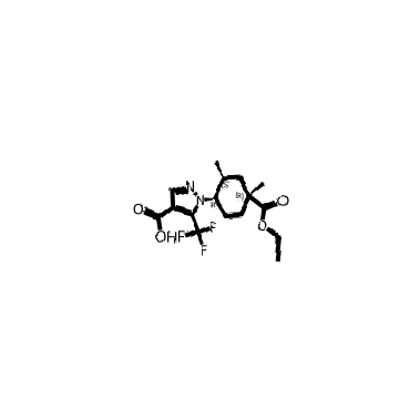 CCOC(=O)[C@]1(C)CC[C@@H](n2ncc(C(=O)O)c2C(F)(F)F)[C@@H](C)C1